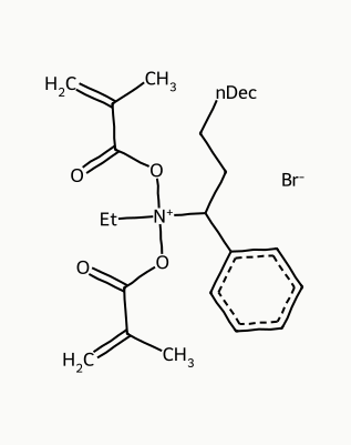 C=C(C)C(=O)O[N+](CC)(OC(=O)C(=C)C)C(CCCCCCCCCCCC)c1ccccc1.[Br-]